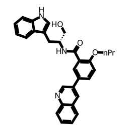 CCCOc1ccc(-c2cnc3ccccc3c2)cc1C(=O)N[C@@H](CO)Cc1c[nH]c2ccccc12